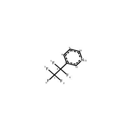 FC(F)(F)C(F)(F)c1cccnc1